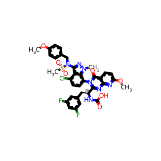 COc1ccc(CN(c2nn(C)c3c(-n4c([C@H](Cc5cc(F)cc(F)c5)NC(=O)O)nc5nc(OC)ccc5c4=O)ccc(Cl)c23)S(C)(=O)=O)cc1